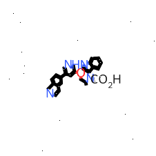 CC(COc1cncc(-c2ccc3cnccc3c2)c1)N(C(=O)O)c1c[nH]c2ccccc12